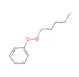 CCCCCOOc1ccccc1